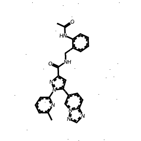 CC(=O)Nc1ccccc1CNC(=O)c1cc(-c2ccc3ncnn3c2)n(-c2cccc(C)n2)n1